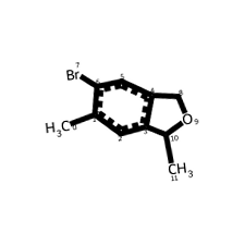 Cc1cc2c(cc1Br)COC2C